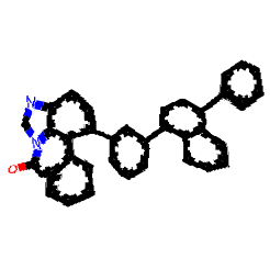 O=c1c2ccccc2c2c(-c3cccc(-c4ccc(-c5ccccc5)c5ccccc45)c3)ccc3ncn1c32